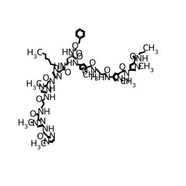 CCCCCCn1cc(NC(=O)c2nc(NC(=O)CCNC(=O)c3nc(NC(=O)c4nccn4C)cn3C)cn2C)nc1C(=O)NCC[C@@H](NC(=O)OCc1ccccc1)C(=O)Nc1cc(C(=O)NCCC(=O)Nc2cc(C(=O)Nc3cc(C(=O)NCCC)n(C)c3)n(C)c2)n(C)c1